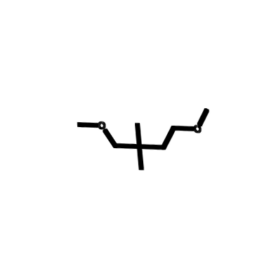 COCCC(C)(C)COC